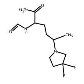 CC(CCC(NC=O)C(N)=O)N1CCC(F)(F)C1